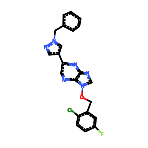 Fc1ccc(Cl)c(COn2cnc3nc(-c4cnn(Cc5ccccc5)c4)cnc32)c1